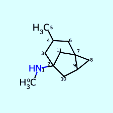 CNC12CC(C)CC3(CC3C1)C2